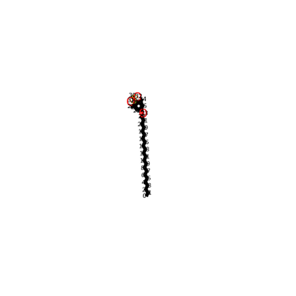 CCCCCCCCCCCCCCCCCCCCCCCOc1cc(C)c(S(C)(=O)=O)c(C)c1